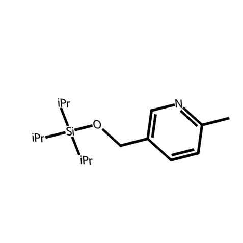 Cc1ccc(CO[Si](C(C)C)(C(C)C)C(C)C)cn1